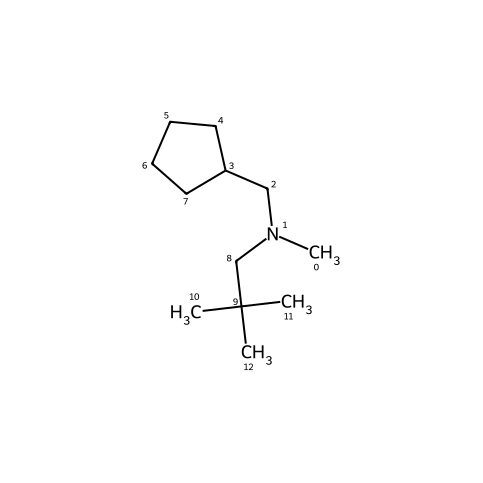 CN(CC1CCCC1)CC(C)(C)C